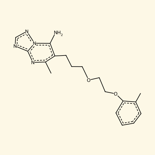 Cc1ccccc1OCCOCCCc1c(C)nc2ncnn2c1N